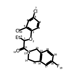 CCC(Oc1ccc(Cl)cc1Cl)C(=O)N1CCc2cc(F)ccc2C1